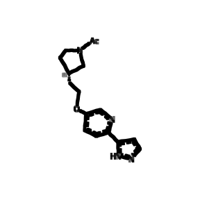 CC(=O)N1CC[C@@H](CCOc2ccc(-c3ccn[nH]3)nc2)C1